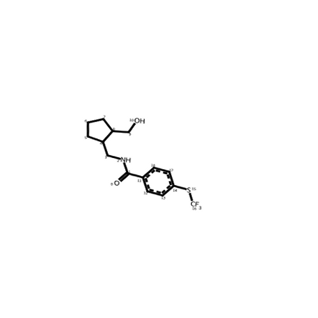 O=C(NCC1CCCC1CO)c1ccc(SC(F)(F)F)cc1